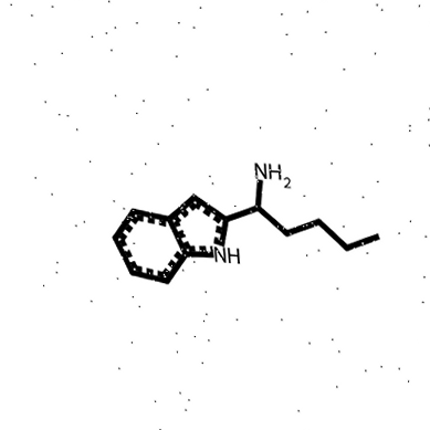 CCCCC(N)c1cc2ccccc2[nH]1